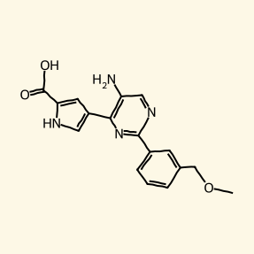 COCc1cccc(-c2ncc(N)c(-c3c[nH]c(C(=O)O)c3)n2)c1